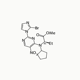 CC[C@H](C(=O)OC)N(c1nc(-n2ccnc2Br)ncc1[N+](=O)[O-])C1CCCC1